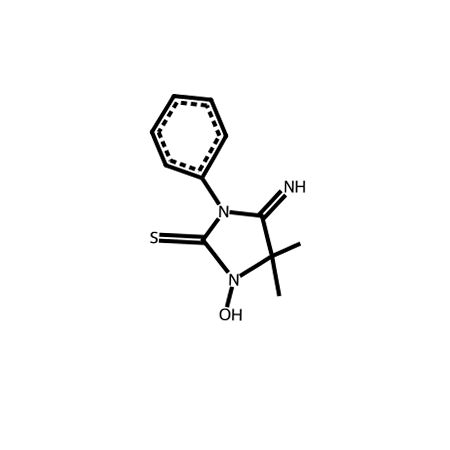 CC1(C)C(=N)N(c2ccccc2)C(=S)N1O